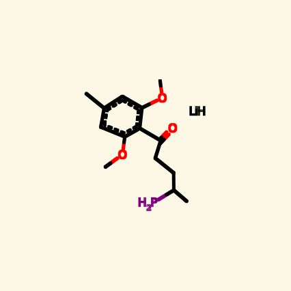 COc1cc(C)cc(OC)c1C(=O)CCC(C)P.[LiH]